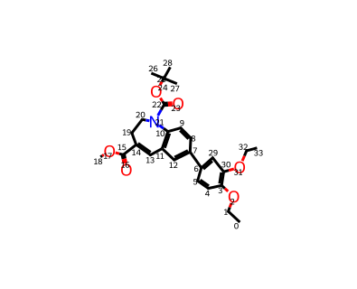 CCOc1ccc(-c2ccc3c(c2)C=C(C(=O)OC)CCN3C(=O)OC(C)(C)C)cc1OCC